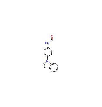 O=CNc1ccc(-n2ccc3ccccc32)cc1